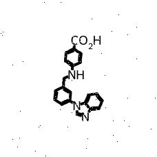 O=C(O)c1ccc(NCc2cccc(-n3cnc4ccccc43)c2)cc1